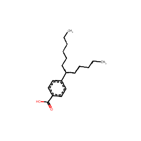 CCCCCCC(CCCCC)c1ccc(C(=O)O)cc1